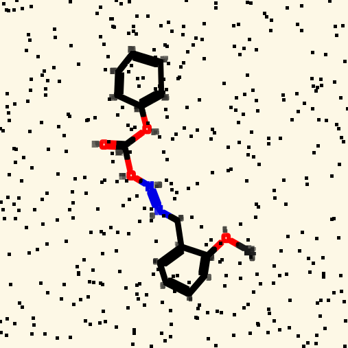 CCOc1ccccc1CN=NOC(=O)Oc1ccccc1